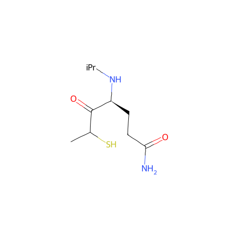 CC(C)N[C@@H](CCC(N)=O)C(=O)C(C)S